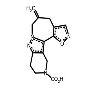 C=C1Cc2cnoc2-c2c3c(nn2C1)CCN(C(=O)O)C3